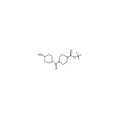 CC(C)(C)OC(=O)N1CCN(C(=O)C2CCC(O)CC2)CC1